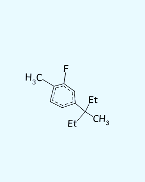 CCC(C)(CC)c1ccc(C)c(F)c1